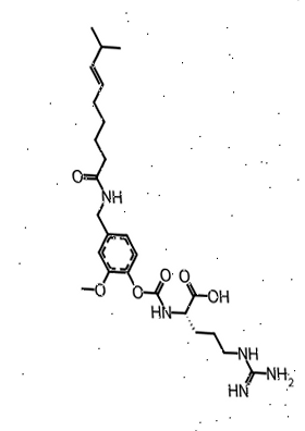 COc1cc(CNC(=O)CCCC/C=C/C(C)C)ccc1OC(=O)N[C@@H](CCCNC(=N)N)C(=O)O